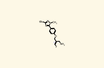 Cn1nc(C(C)(C)C)nc1-c1ccc(OC/C(=C/F)CN)cc1